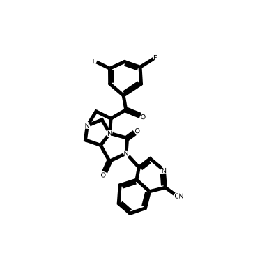 N#Cc1ncc(N2C(=O)C3CN4CC(C(=O)c5cc(F)cc(F)c5)[N+]3(C4)C2=O)c2ccccc12